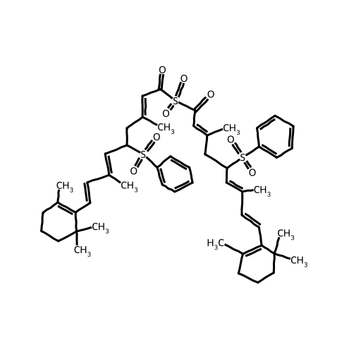 CC1=C(/C=C/C(C)=C/C(C/C(C)=C/C(=O)S(=O)(=O)C(=O)/C=C(\C)CC(/C=C(C)/C=C/C2=C(C)CCCC2(C)C)S(=O)(=O)c2ccccc2)S(=O)(=O)c2ccccc2)C(C)(C)CCC1